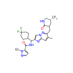 CCn1nccc1C(=O)NC(c1cn2nc(CC3C[C@@H](C(F)(F)F)CNC3=O)c(C)cc2n1)C1CCC(F)(F)CC1